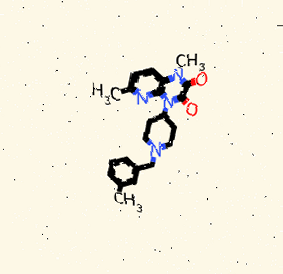 Cc1cccc(CN2CCC(n3c(=O)c(=O)n(C)c4ccc(C)nc43)CC2)c1